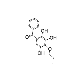 CCCOc1c(O)cc(C(=O)c2ccccc2)c(O)c1O